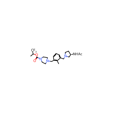 CC(=O)N[C@@H]1CCN(Cc2cccc(CN3CCN(C(=O)OC(C)C(F)(F)F)CC3)c2C)C1